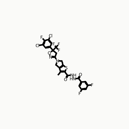 Cc1c(C(=O)NNC(=O)c2cc(F)cc(F)c2)sc2c1CN(C1=NOC(c3cc(Cl)c(F)c(Cl)c3)(C(F)(F)F)C1)C2